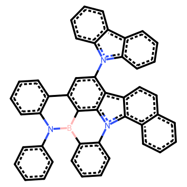 c1ccc(N2B3c4ccccc4-n4c5c3c(cc(-n3c6ccccc6c6ccccc63)c5c3ccc5ccccc5c34)-c3ccccc32)cc1